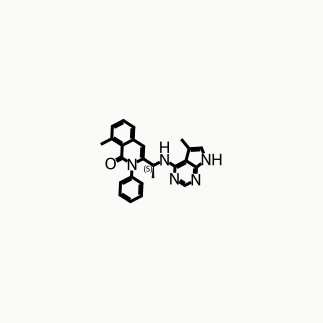 Cc1c[nH]c2ncnc(N[C@@H](C)c3cc4cccc(C)c4c(=O)n3-c3ccccc3)c12